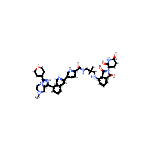 CC(=O)N1CCn2c(C3CCOCC3)nc(-c3cccc4cc(-c5ccc(C(=O)NCC(C)(C)CNc6cccc7c6C(=O)N(C6CCC(=O)NC6=O)C7=O)nc5)ncc34)c2C1